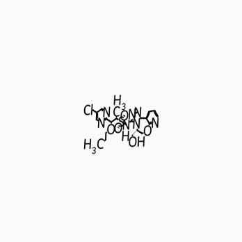 CCCO[C@@H](c1ncc(Cl)cn1)[C@H](C)S(=O)(=O)Nc1nnc2n1[C@@H](CO)COc1ncccc1-2